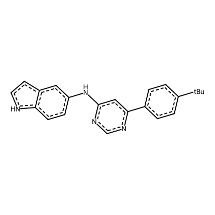 CC(C)(C)c1ccc(-c2cc(Nc3ccc4[nH]ccc4c3)ncn2)cc1